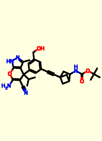 Cc1n[nH]c2c1C(c1cc(C#CC34CC(C3)C(NC(=O)OC(C)(C)C)C4)cc(CO)c1)(C(C)C)C(C#N)=C(N)O2